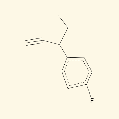 C#CC(CC)c1ccc(F)cc1